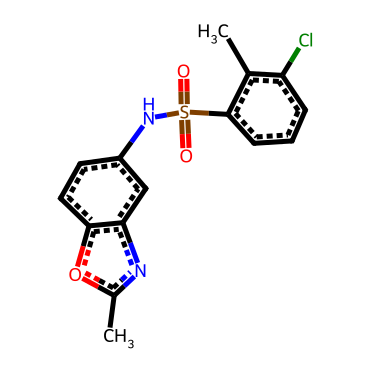 Cc1nc2cc(NS(=O)(=O)c3cccc(Cl)c3C)ccc2o1